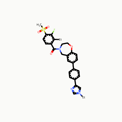 CCc1c(C(=O)N2CCOc3ccc(-c4ccc(-c5cn(CC)cn5)cc4)cc3C2)ccc(S(C)(=O)=O)c1F